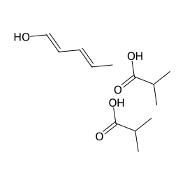 CC(C)C(=O)O.CC(C)C(=O)O.CC=CC=CO